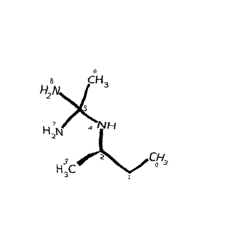 CC[C@@H](C)NC(C)(N)N